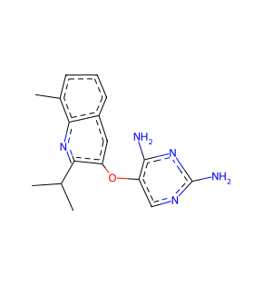 Cc1cccc2cc(Oc3cnc(N)nc3N)c(C(C)C)nc12